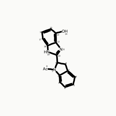 CC(=O)N1c2ccccc2CC1c1nc2c(O)cccc2[nH]1